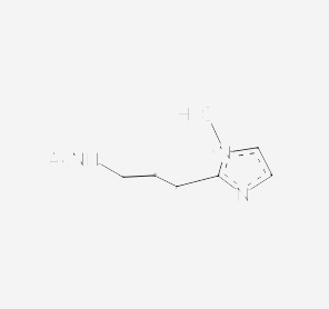 CC(=O)NCCCc1nccn1C